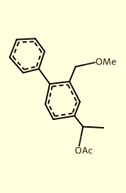 COCc1cc(C(C)OC(C)=O)ccc1-c1ccccc1